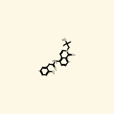 CC(C)(O)Cn1ccc2c(NC(=O)Cc3ccccc3Cl)cccc2c1=O